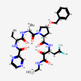 CC[C@@H](C)[C@H](NC(=O)[C@H](CC(C)C)NC(=O)c1cnccn1)C(=O)N1C[C@H](OCc2ccccc2)C[C@H]1C(=O)N[C@@H](CC(F)F)C(=O)C(=O)NCC(=O)O